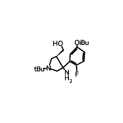 CC(C)COc1ccc(F)c([C@]2(N)CN(C(C)(C)C)C[C@H]2CO)c1